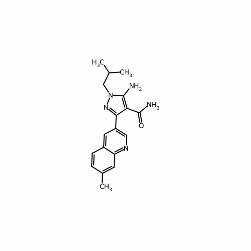 Cc1ccc2cc(-c3nn(CC(C)C)c(N)c3C(N)=O)cnc2c1